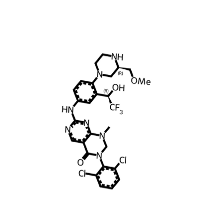 COC[C@H]1CN(c2ccc(Nc3ncc4c(n3)N(C)CN(c3c(Cl)cccc3Cl)C4=O)cc2[C@@H](O)C(F)(F)F)CCN1